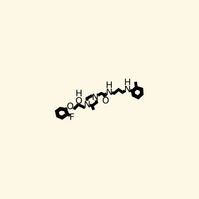 Cc1ccccc1NCCCNC(=O)CN1CCN(CC(O)COc2ccccc2F)C(C)C1